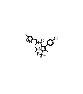 Cc1cc(CN(C)C(=O)c2c(-c3ccc(Cl)cc3)c(C)c(C(F)(F)F)n2C(C)C)no1